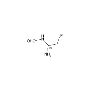 CC(C)C[C@H](N)NC=O